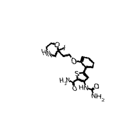 NC(=O)Nc1cc(-c2ccccc2OCCC2(I)CNCCO2)sc1C(N)=O